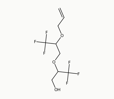 C=CCOC(COC(CO)C(F)(F)F)C(F)(F)F